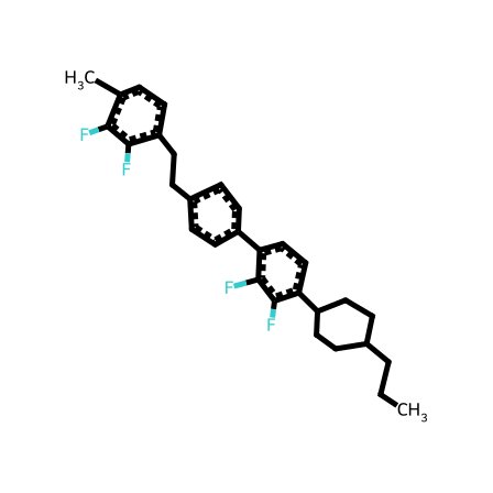 CCCC1CCC(c2ccc(-c3ccc(CCc4ccc(C)c(F)c4F)cc3)c(F)c2F)CC1